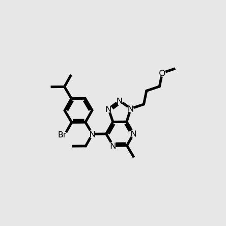 CCN(c1ccc(C(C)C)cc1Br)c1nc(C)nc2c1nnn2CCCOC